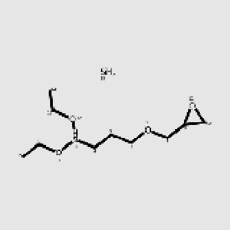 CCO[SiH](CCCOCC1CO1)OCC.[SiH4]